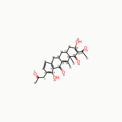 CC(=O)Cc1ccc2c(c1O)C(=O)C1=C(C)C3(C)C(=O)C(C(C)=O)=C(O)CC3CC1C2